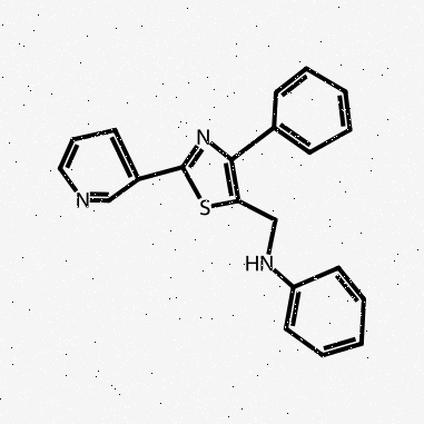 c1ccc(NCc2sc(-c3cccnc3)nc2-c2ccccc2)cc1